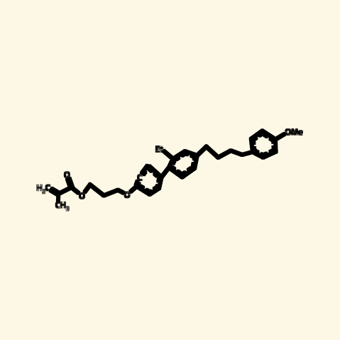 C=C(C)C(=O)OCCCOc1ccc(-c2ccc(CCCCc3ccc(OC)cc3)cc2CC)cc1